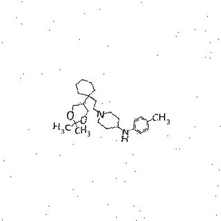 Cc1ccc(NC2CCN(CCC3(C4COC(C)(C)OC4)CCCCC3)CC2)cc1